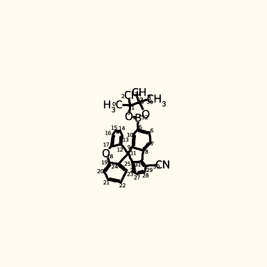 CC1(C)OB(c2ccc3c(c2)C2(c4ccccc4Oc4ccccc42)c2cccc(C#N)c2-3)OC1(C)C